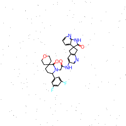 O=C(CN1C(=O)C2(CCOCC2)CCC1c1cc(F)cc(F)c1)Nc1cnc2c(c1)CC1(C2)C(=O)Nc2ncccc21